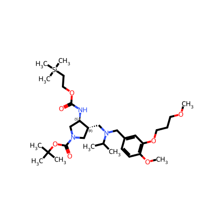 COCCCOc1cc(CN(C[C@@H]2CN(C(=O)OC(C)(C)C)C[C@H]2NC(=O)OCC[Si](C)(C)C)C(C)C)ccc1OC